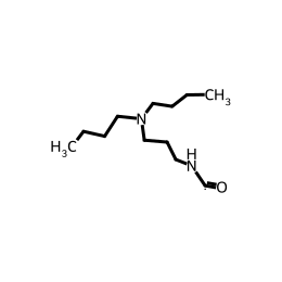 CCCCN(CCCC)CCCN[C]=O